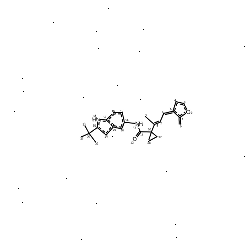 C=c1occ/c1=C/C=C(\C)C1(C(=O)Nc2ccc3[nH]c(C(C)(C)C)cc3c2)CC1